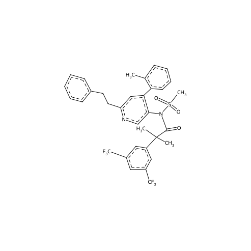 Cc1ccccc1-c1cc(CCc2ccccc2)ncc1N(C(=O)C(C)(C)c1cc(C(F)(F)F)cc(C(F)(F)F)c1)S(C)(=O)=O